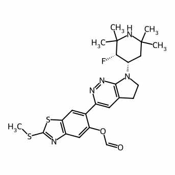 CSc1nc2cc(OC=O)c(-c3cc4c(nn3)N([C@H]3CC(C)(C)NC(C)(C)[C@H]3F)CC4)cc2s1